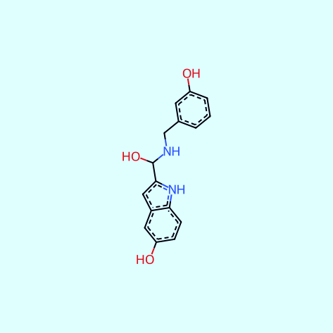 Oc1cccc(CNC(O)c2cc3cc(O)ccc3[nH]2)c1